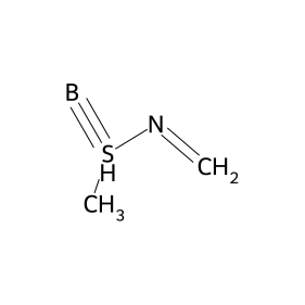 B#[SH](C)N=C